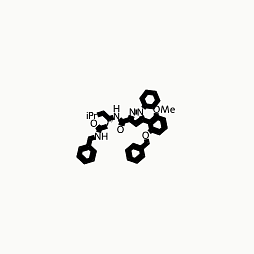 COc1cccc(OCc2ccccc2)c1-c1cc(C(=O)N[C@H](CC(=O)NCc2ccccc2)CC(C)C)nn1C1CCCCC1